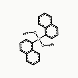 CCCO[Si](OCCC)(c1cccc2ccccc12)c1cccc2ccccc12